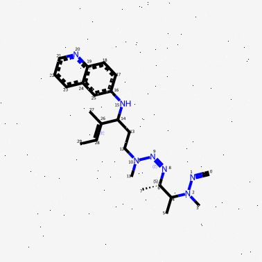 C=NN(C)C(C)[C@H](C)/N=N\N(C)CCC(Nc1ccc2ncccc2c1)/C(C)=C/C